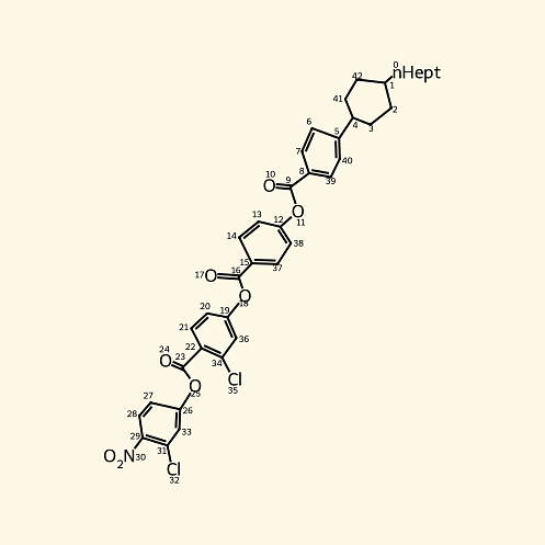 CCCCCCCC1CCC(c2ccc(C(=O)Oc3ccc(C(=O)Oc4ccc(C(=O)Oc5ccc([N+](=O)[O-])c(Cl)c5)c(Cl)c4)cc3)cc2)CC1